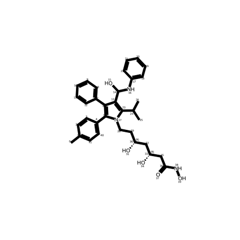 Cc1ccc(-c2c(-c3ccccc3)c(C(O)Nc3ccccc3)c(C(C)C)n2CC[C@@H](O)C[C@@H](O)CC(=O)NO)cc1